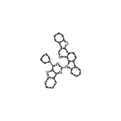 c1ccc(-c2nc(-n3c4ccccc4c4ccc5c(ncc6c7ccccc7sc65)c43)nc3c2sc2ccccc23)cc1